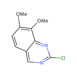 COc1ccc2cnc(Cl)nc2c1OC